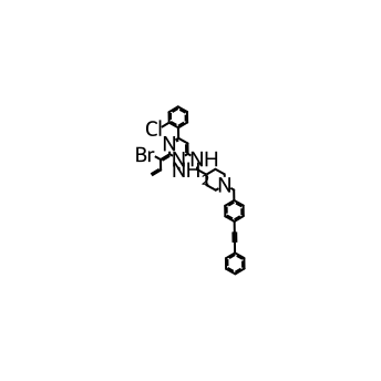 C=C/C(Br)=C1/N=C(c2ccccc2Cl)C=C(NCC2CCN(Cc3ccc(C#Cc4ccccc4)cc3)CC2)N1N